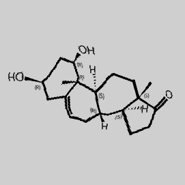 C[C@]12C(=CC[C@@H]3[C@@H]1CC[C@]1(C)C(=O)CC[C@@H]31)C[C@@H](O)C[C@H]2O